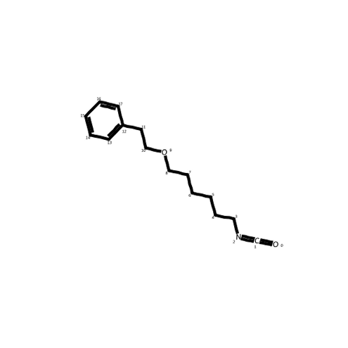 O=C=NCCCCCCOCCc1ccccc1